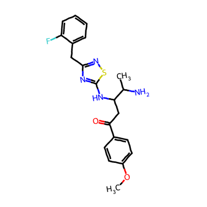 COc1ccc(C(=O)CC(Nc2nc(Cc3ccccc3F)ns2)C(C)N)cc1